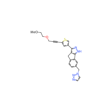 COCCOCC#Cc1cc(-c2n[nH]c3c2Cc2ccc(Cn4ccnn4)cc2-3)cs1